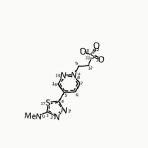 CNc1nnc(-c2cc[n+](CCS(=O)(=O)[O-])nc2)s1